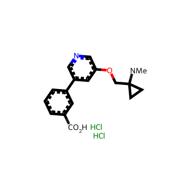 CNC1(COc2cncc(-c3cccc(C(=O)O)c3)c2)CC1.Cl.Cl